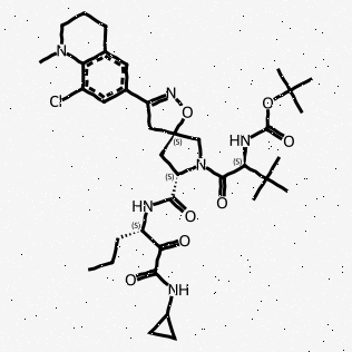 CCC[C@H](NC(=O)[C@@H]1C[C@]2(CC(c3cc(Cl)c4c(c3)CCCN4C)=NO2)CN1C(=O)[C@@H](NC(=O)OC(C)(C)C)C(C)(C)C)C(=O)C(=O)NC1CC1